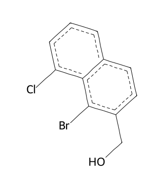 OCc1ccc2cccc(Cl)c2c1Br